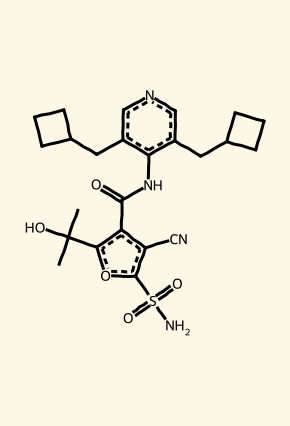 CC(C)(O)c1oc(S(N)(=O)=O)c(C#N)c1C(=O)Nc1c(CC2CCC2)cncc1CC1CCC1